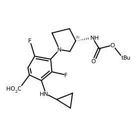 CC(C)(C)OC(=O)N[C@H]1CCN(c2c(F)cc(C(=O)O)c(NC3CC3)c2F)C1